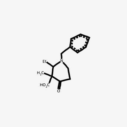 CCC1N(Cc2ccccc2)CCC(=O)C1(C)C(=O)O